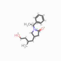 CC(CCO)CC1CC(=O)N([C@@H](C)c2ccccc2)C1